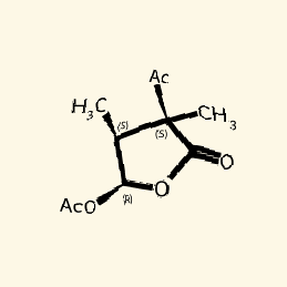 CC(=O)O[C@@H]1OC(=O)[C@](C)(C(C)=O)[C@@H]1C